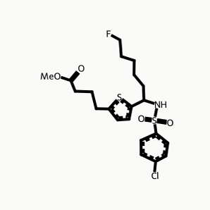 COC(=O)CCCc1ccc(C(CCCCCF)NS(=O)(=O)c2ccc(Cl)cc2)s1